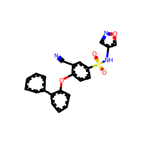 N#Cc1cc(S(=O)(=O)Nc2cnoc2)ccc1Oc1ccccc1-c1ccccc1